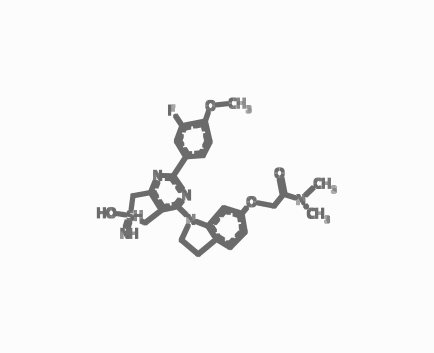 COc1ccc(-c2nc3c(c(N4CCc5ccc(OCC(=O)N(C)C)cc54)n2)C[SH](=N)(O)C3)cc1F